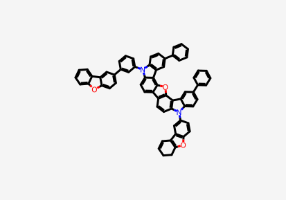 C1=Cc2c(oc3ccc(-n4c5ccc(-c6ccccc6)cc5c5c6oc7c(ccc8c7c7cc(-c9ccccc9)ccc7n8-c7cccc(-c8ccc9oc%10ccccc%10c9c8)c7)c6ccc54)cc23)CC1